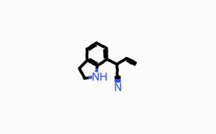 C=CC(C#N)c1cccc2c1NCC2